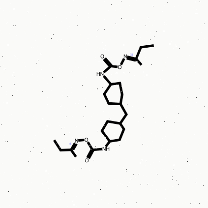 CC/C(C)=N/OC(=O)NC1CCC(CC2CCC(NC(=O)O/N=C(\C)CC)CC2)CC1